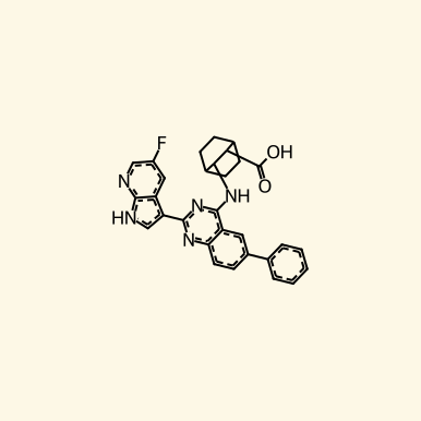 O=C(O)C1C2CCC(CC2)C1Nc1nc(-c2c[nH]c3ncc(F)cc23)nc2ccc(-c3ccccc3)cc12